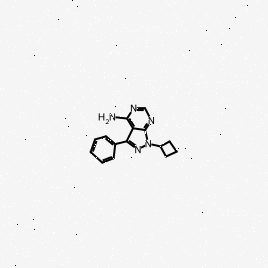 Nc1ncnc2c1c(-c1ccccc1)nn2C1CCC1